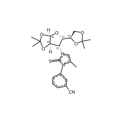 Cc1cn([C@@H]2[C@H]3OC(C)(C)O[C@H]3O[C@@H]2[C@H]2COC(C)(C)O2)c(=S)n1-c1cccc(C#N)c1